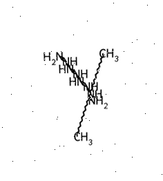 CCCCCCCCCCCCCCC(N)CNC(CCCCCCCCCCCCCC)CNCCNCCNCCNCCNCCN